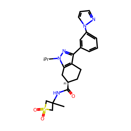 CC(C)n1nc(-c2cccc(-n3cccn3)c2)c2c1C[C@H](C(=O)NC1(C)CS(=O)(=O)C1)CC2